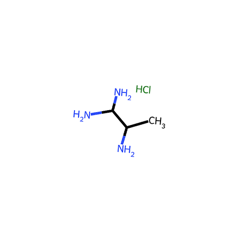 CC(N)C(N)N.Cl